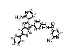 N#Cc1cc(C(=O)NCc2ccc(-n3c(-c4cccnc4N)nc4cc(-c5ccccc5)cnc43)cc2)ccn1